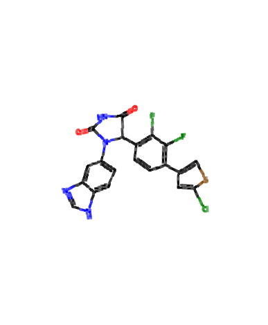 O=C1NC(=O)N(c2ccc3[nH]cnc3c2)C1c1ccc(-c2csc(Cl)c2)c(F)c1F